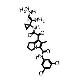 Cc1c(C(=O)C(=O)NC2(/C(N)=C/NN)CC2)c2n(c1C(=O)Nc1cc(Cl)cc(Cl)c1)CCC2